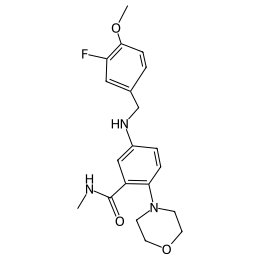 CNC(=O)c1cc(NCc2ccc(OC)c(F)c2)ccc1N1CCOCC1